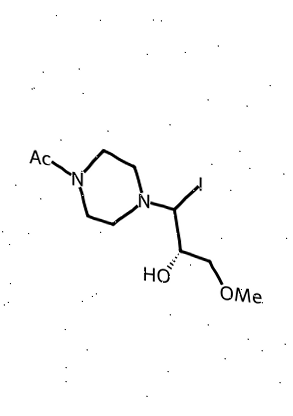 COC[C@H](O)C(I)N1CCN(C(C)=O)CC1